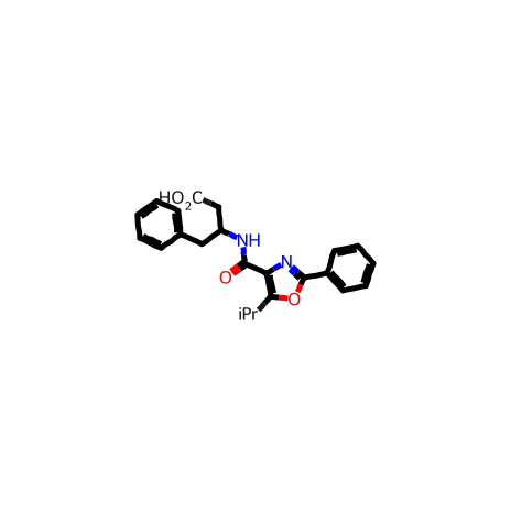 CC(C)c1oc(-c2ccccc2)nc1C(=O)NC(CC(=O)O)Cc1ccccc1